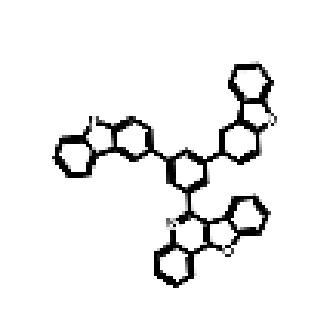 C1=CC(c2cc(-c3ccc4oc5ccccc5c4c3)cc(-c3nc4ccccc4c4oc5ccccc5c34)c2)Cc2c1oc1ccccc21